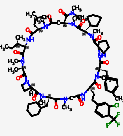 CC[C@H](C)[C@@H]1NC(=O)[C@H](CC(C)C)N(C)C(=O)C[C@@H](C(=O)N(C)C)N(C)C(=O)[C@H](C2CCCC2)N(C)C(=O)C2(CCCC2)NC(=O)[C@H](Cc2ccc(C)cc2)N(C)C(=O)[C@H](CCc2ccc(C(F)(F)F)c(Cl)c2)NC(=O)CN(C)C(=O)[C@H](CC2CCCCC2)N(C)C(=O)[C@@H]2CCN2C(=O)[C@H](C)N(C)C1=O